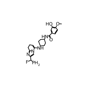 COc1ccc(C(=O)NC2CCC(NC3=CCCc4nc(C(F)P)cn43)CC2)cc1O